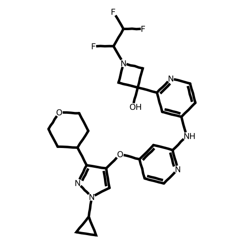 OC1(c2cc(Nc3cc(Oc4cn(C5CC5)nc4C4CCOCC4)ccn3)ccn2)CN(C(F)C(F)F)C1